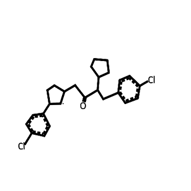 O=C(CC1[CH]C(c2ccc(Cl)cc2)CC1)C(Cc1ccc(Cl)cc1)C1CCCC1